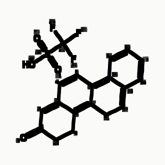 O=C1C=c2ccc3c(c2CC1)CC=c1ccccc1=3.O=S(=O)(O)C(F)(F)F